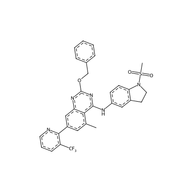 Cc1cc(-c2ncccc2C(F)(F)F)cc2nc(OCc3ccccc3)nc(Nc3ccc4c(c3)CCN4S(C)(=O)=O)c12